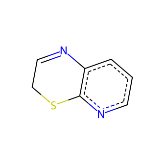 C1=Nc2cccnc2SC1